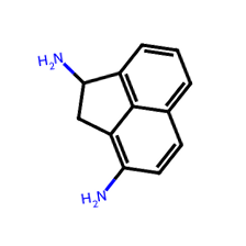 Nc1ccc2cccc3c2c1CC3N